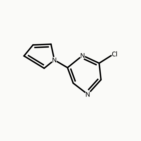 Clc1cncc(-n2cccc2)n1